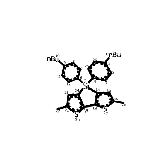 CCCCc1ccc([Si]2(c3ccc(CCCC)cc3)c3cc(C)sc3-c3sc(C)cc32)cc1